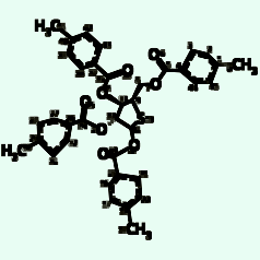 Cc1ccc(C(=O)OC[C@H]2SC(OC(=O)c3ccc(C)cc3)[C@H](OC(=O)c3ccc(C)cc3)[C@H]2OC(=O)c2ccc(C)cc2)cc1